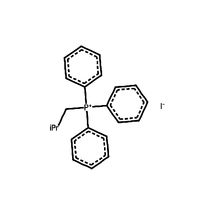 CC(C)C[P+](c1ccccc1)(c1ccccc1)c1ccccc1.[I-]